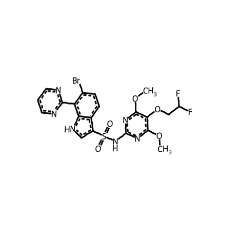 COc1nc(NS(=O)(=O)c2c[nH]c3c(-c4ncccn4)c(Br)ccc23)nc(OC)c1OCC(F)F